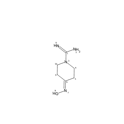 N=C(N)N1CCC(=NO)CC1